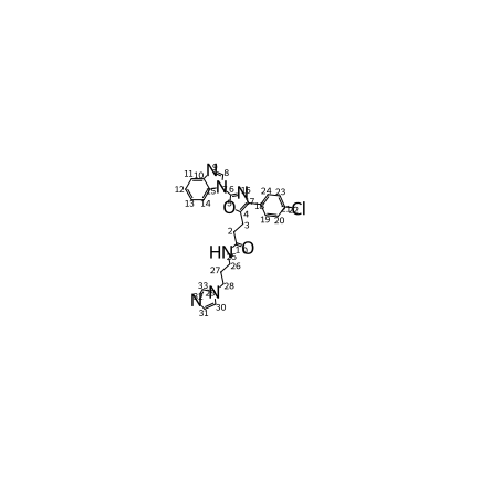 O=C(CCc1oc(-n2cnc3ccccc32)nc1-c1ccc(Cl)cc1)NCCCn1ccnc1